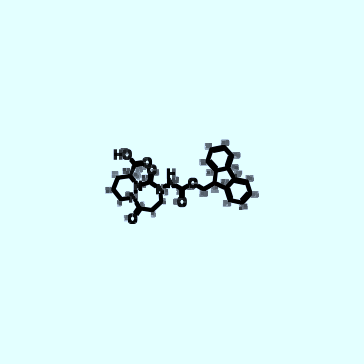 O=C(NN1CCC(=O)N2CCC[C@@H](C(=O)O)N2C1=O)OCC1c2ccccc2-c2ccccc21